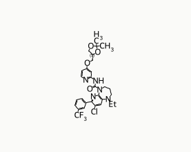 CCN1CCCN(C(=O)Nc2cc(OC[C@H]3COC(C)(C)O3)ccn2)c2nc(-c3cccc(C(F)(F)F)c3)c(Cl)cc21